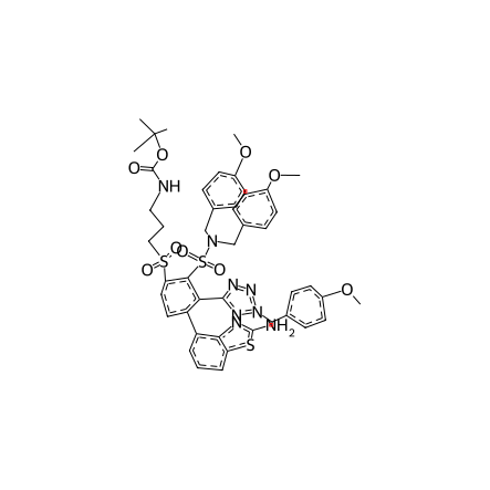 COc1ccc(CN(Cc2ccc(OC)cc2)S(=O)(=O)c2c(S(=O)(=O)CCCNC(=O)OC(C)(C)C)ccc(-c3cccc4sc(N)nc34)c2-c2nnn(Cc3ccc(OC)cc3)n2)cc1